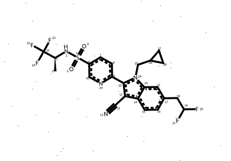 C[C@H](NS(=O)(=O)c1ccc(-c2c(C#N)c3ccc(CC(F)F)cc3n2CC2CC2)nc1)C(F)(F)F